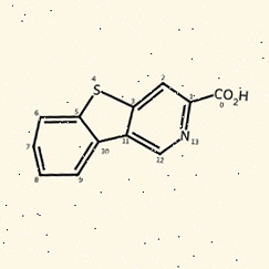 O=C(O)c1cc2sc3ccccc3c2cn1